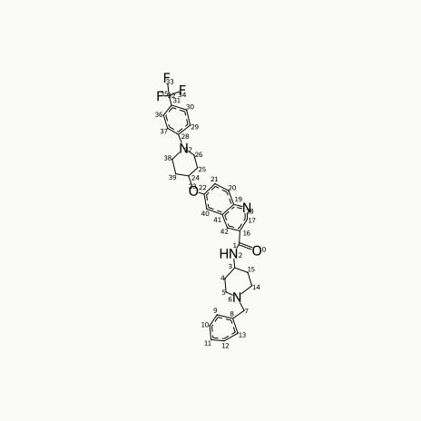 O=C(NC1CCN(Cc2ccccc2)CC1)c1cnc2ccc(OC3CCN(c4ccc(C(F)(F)F)cc4)CC3)cc2c1